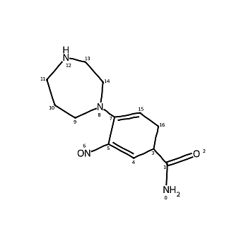 NC(=O)C1C=C(N=O)C(N2CCCNCC2)=CC1